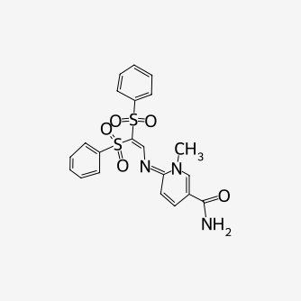 Cn1cc(C(N)=O)ccc1=NC=C(S(=O)(=O)c1ccccc1)S(=O)(=O)c1ccccc1